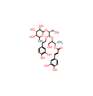 CC1OC(O[C@@H](CO)[C@H](OCCc2ccc(O)c(O)c2)OC(CO)[C@H](C)OC(=O)/C=C/c2ccc(O)c(O)c2)C(O)[C@@H](O)[C@@H]1O